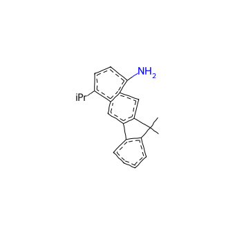 CC(C)c1ccc(N)c2cc3c(cc12)-c1ccccc1C3(C)C